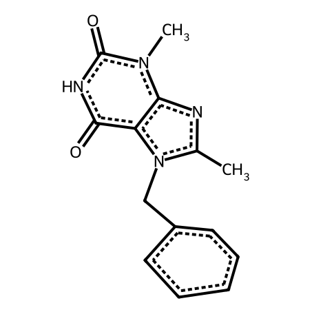 Cc1nc2c(c(=O)[nH]c(=O)n2C)n1Cc1ccccc1